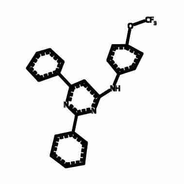 FC(F)(F)Oc1ccc(Nc2cc(-c3ccccc3)nc(-c3ccccc3)n2)cc1